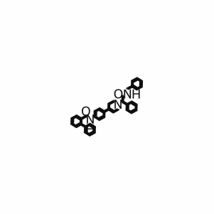 O=C(Nc1ccc(C2=CCN(C(C(=O)NCc3ccccc3)c3ccccc3)CC2)cc1)c1ccccc1-c1ccccc1